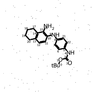 CC(C)(C)OC(=O)Nc1ccc(Nc2ccc3c(c2N)CCCC3)cc1